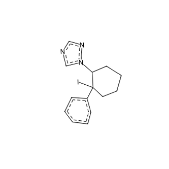 IC1(c2ccccc2)CCCCC1n1cncn1